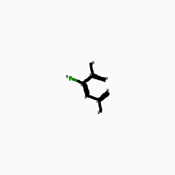 C=C(C)/C=C(/F)C(=C)C